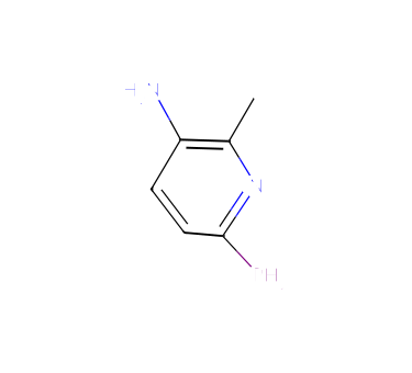 Cc1nc(P)ccc1N